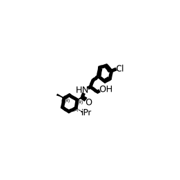 CC(C)[C@@H]1CC[C@@H](C)C[C@H]1C(=O)NC(CO)Cc1ccc(Cl)cc1